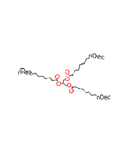 CCCCCC/C=C\CCCCCCCCCC(=O)OC(COC(=O)CCCCCCCCCCCCCCCCC)COC(=O)CCCCCCCCCCCCCCCCC